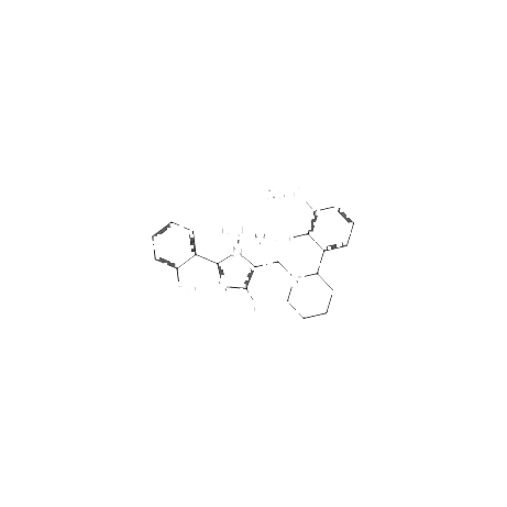 CCCCn1c(-c2ccccc2C)nc(Cl)c1CN1CCCCC1c1cccc(OC)c1OC